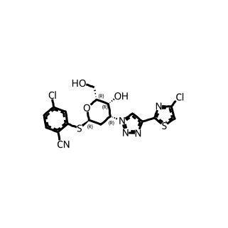 N#Cc1ccc(Cl)cc1S[C@@H]1C[C@@H](n2cc(-c3nc(Cl)cs3)nn2)[C@@H](O)[C@@H](CO)O1